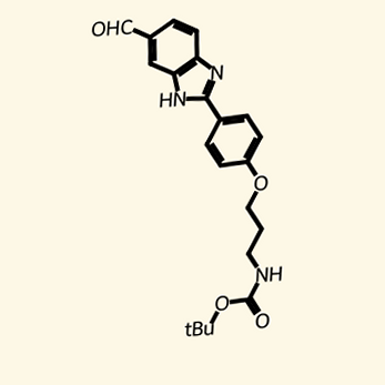 CC(C)(C)OC(=O)NCCCOc1ccc(-c2nc3ccc(C=O)cc3[nH]2)cc1